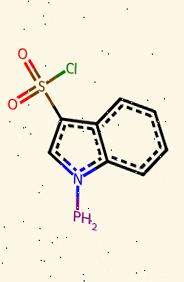 O=S(=O)(Cl)c1cn(P)c2ccccc12